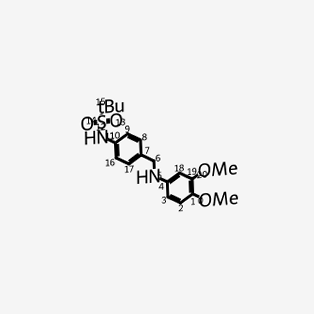 COc1ccc(NCc2ccc(NS(=O)(=O)C(C)(C)C)cc2)cc1OC